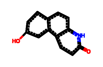 O=c1ccc2c(ccc3ccc(O)cc32)[nH]1